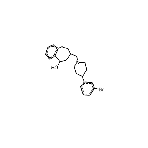 OC1CC(CN2CCC(c3cccc(Br)c3)CC2)CCc2ccccc21